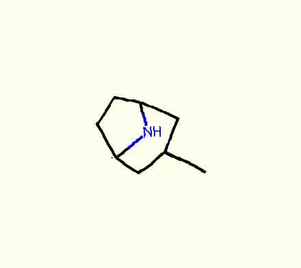 CC1C[C]2CCC(C1)N2